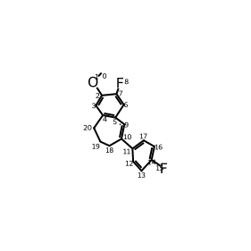 COc1cc2c(cc1F)[C]=C(c1ccc(F)cc1)CCC2